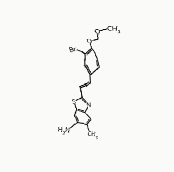 COCOc1ccc(/C=C/c2nc3cc(C)c(N)cc3s2)cc1Br